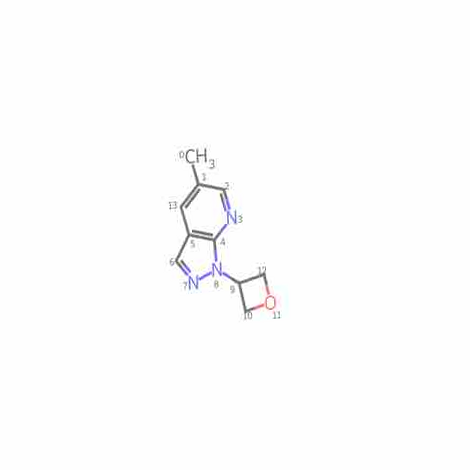 Cc1cnc2c(cnn2C2COC2)c1